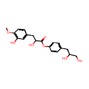 COc1ccc(CC(O)C(=O)Oc2ccc(CC(O)CO)cc2)cc1O